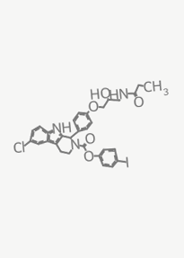 CCC(=O)NCC(O)COc1ccc(C2c3[nH]c4ccc(Cl)cc4c3CCN2C(=O)Oc2ccc(I)cc2)cc1